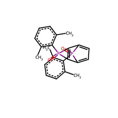 Cc1cccc(C)c1P1(=O)C2=CC=C1C1=C2P1(=O)c1c(C)cccc1C